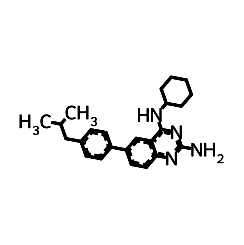 CC(C)Cc1ccc(-c2ccc3nc(N)nc(NC4CCCCC4)c3c2)cc1